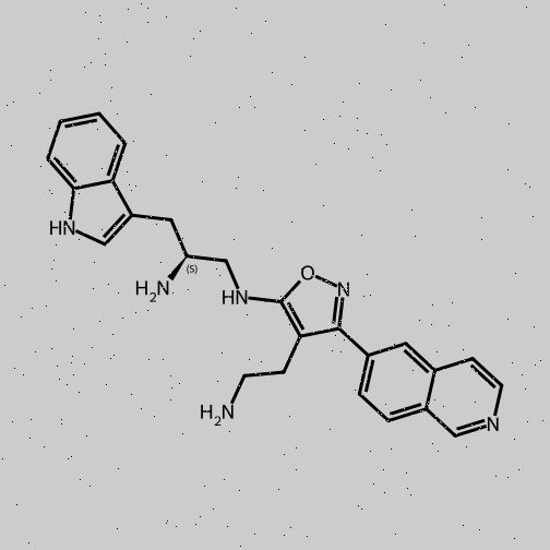 NCCc1c(-c2ccc3cnccc3c2)noc1NC[C@@H](N)Cc1c[nH]c2ccccc12